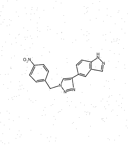 O=[N+]([O-])c1ccc(Cn2cc(-c3ccc4[nH]ncc4c3)nn2)cc1